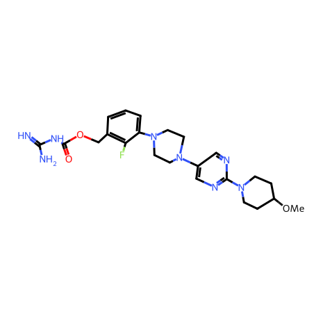 COC1CCN(c2ncc(N3CCN(c4cccc(COC(=O)NC(=N)N)c4F)CC3)cn2)CC1